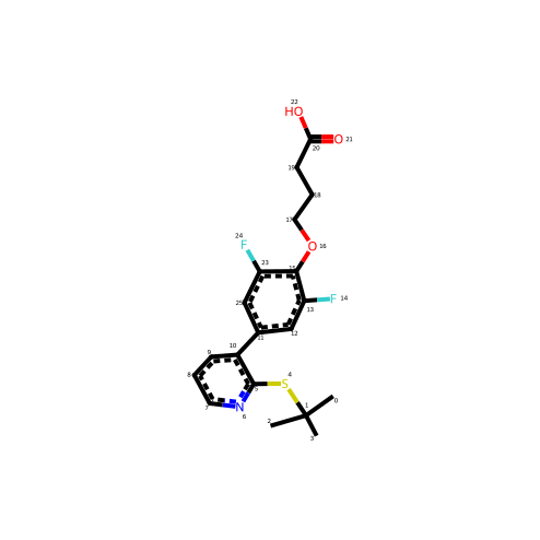 CC(C)(C)Sc1ncccc1-c1cc(F)c(OCCCC(=O)O)c(F)c1